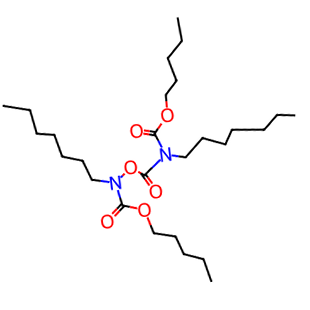 CCCCCCCN(OC(=O)N(CCCCCCC)C(=O)OCCCCC)C(=O)OCCCCC